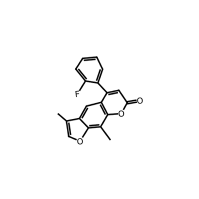 Cc1coc2c(C)c3oc(=O)cc(-c4ccccc4F)c3cc12